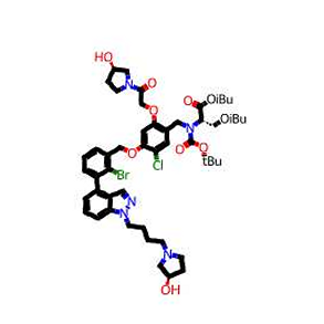 CC(C)COC[C@@H](C(=O)OCC(C)C)N(Cc1cc(Cl)c(OCc2cccc(-c3cccc4c3cnn4CCCCN3CC[C@@H](O)C3)c2Br)cc1OCC(=O)N1CC[C@@H](O)C1)C(=O)OC(C)(C)C